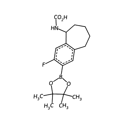 CC1(C)OB(c2cc3c(cc2F)C(NC(=O)O)CCCC3)OC1(C)C